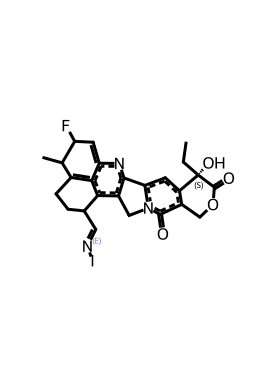 CC[C@@]1(O)C(=O)OCc2c1cc1n(c2=O)Cc2c-1nc1c3c2C(/C=N/I)CCC=3C(C)C(F)C=1